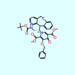 COC(=O)c1cn([C@H](CNC(=O)OC(C)(C)C)C2c3ccccc3CCc3ccccc32)c(C(=O)OC)c(OCc2ccccc2)c1=O